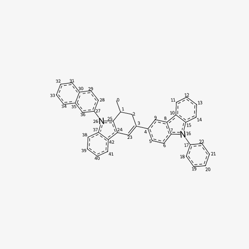 CC1CC(c2ccc3c(c2)c2ccccc2n3-c2ccccc2)=Cc2c1n(-c1ccc3ccccc3c1)c1ccccc21